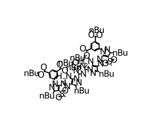 CCCCOC(=O)c1cc(C(=O)OCCCC)cc(-n2nc(CCCC)c(S(C)(=O)=O)c2N=Nc2c(CCCC)nn(-c3nc(OCCCC)nc(-n4nc(CCCC)c(N=Nc5c(S(C)(=O)=O)c(CCCC)nn5-c5cc(C(=O)OCCCC)cc(C(=O)OCCCC)c5)c4N)n3)c2N)c1